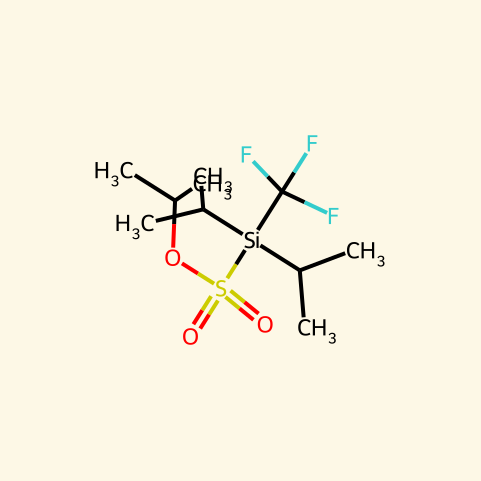 CC(C)OS(=O)(=O)[Si](C(C)C)(C(C)C)C(F)(F)F